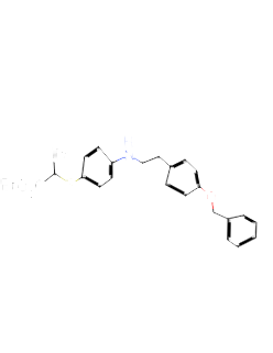 CCOC(=O)C(Sc1ccc(NCCc2ccc(OCc3ccccc3)cc2)cc1)C(C)C